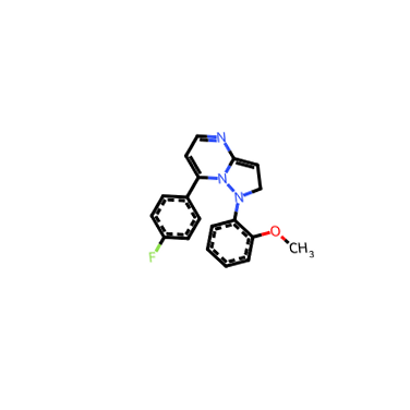 COc1ccccc1N1CC=C2N=CC=C(c3ccc(F)cc3)N21